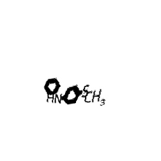 CSc1ccc(Nc2ccccc2)cc1